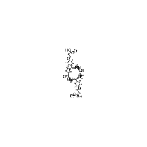 CCOC(O)CCOc1ccc(-c2c3nc(c(Cl)c4ccc([nH]4)c(-c4ccc(OCCC(O)OCC)cc4)c4nc(c(Cl)c5ccc2[nH]5)C=C4)C=C3)cc1